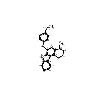 COc1ccc(Cc2nc3c(c4c2[nH]c2ccccc24)CCCC3C)cc1